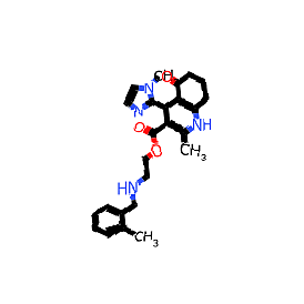 CC1=C(C(=O)OCCNCc2ccccc2C)C(c2nccn2C)C2=C(CCCC2=O)N1